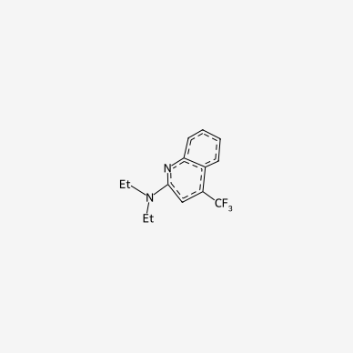 CCN(CC)c1cc(C(F)(F)F)c2ccccc2n1